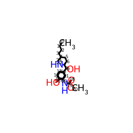 CCCCC1CCC(C(O)c2ccc(O)c(NC(=O)OC)c2)NC1